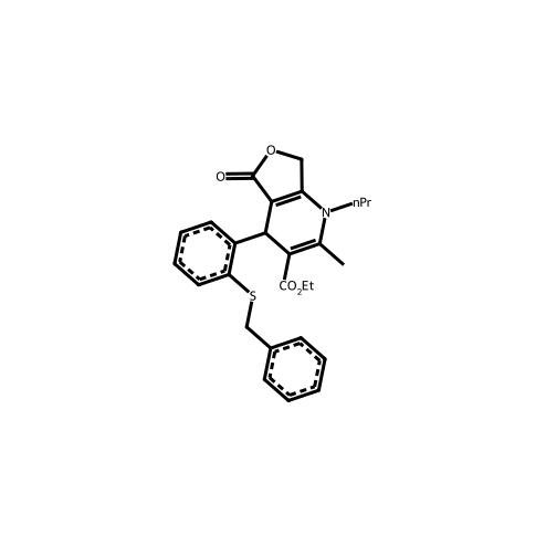 CCCN1C(C)=C(C(=O)OCC)C(c2ccccc2SCc2ccccc2)C2=C1COC2=O